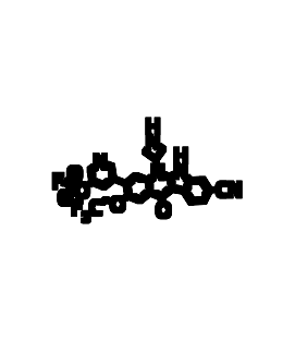 N#Cc1ccc2c(c1)[nH]c1c2c(=O)c2cc(OCC(F)(F)F)c(-c3cncc(OS(=O)(=O)F)c3)cc2n1C1CNC1